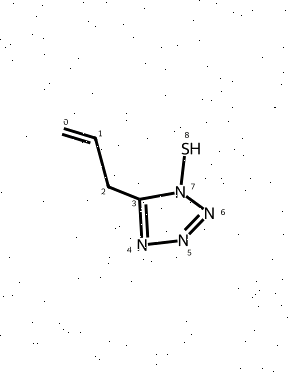 C=CCc1nnnn1S